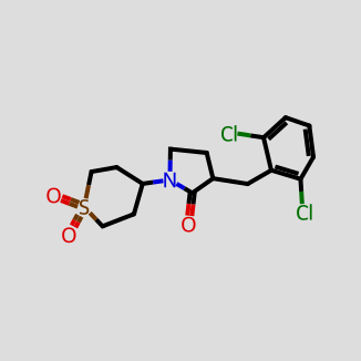 O=C1C(Cc2c(Cl)cccc2Cl)CCN1C1CCS(=O)(=O)CC1